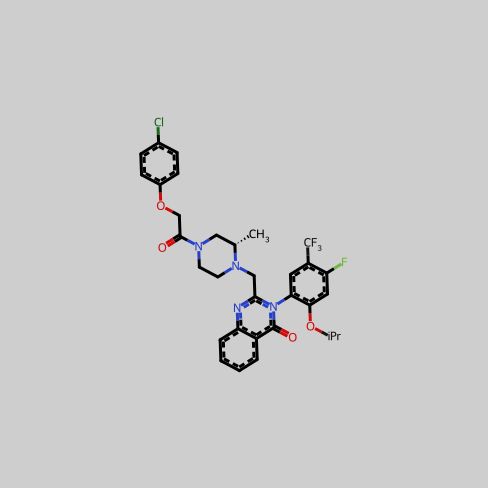 CC(C)Oc1cc(F)c(C(F)(F)F)cc1-n1c(CN2CCN(C(=O)COc3ccc(Cl)cc3)C[C@@H]2C)nc2ccccc2c1=O